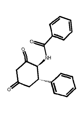 O=C1CC(=O)[C@@H](NC(=O)c2ccccc2)[C@H](c2ccccc2)C1